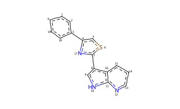 c1ccc(-c2csc(-c3c[nH]c4ncccc34)n2)cc1